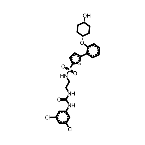 O=C(NCCNS(=O)(=O)c1ccc(-c2ccccc2O[C@H]2CC[C@H](O)CC2)s1)Nc1cc(Cl)cc(Cl)c1